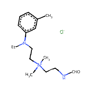 CCN(CC[N+](C)(C)CCNC=O)c1cccc(C)c1.[Cl-]